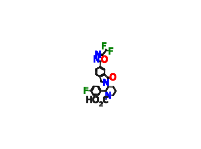 O=C1c2cc(-c3nnc(C(F)F)o3)ccc2CN1C1CCCN(C(=O)O)C1c1ccc(F)cc1